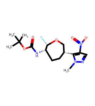 Cn1ncc([N+](=O)[O-])c1[C@@H]1CC[C@H](NC(=O)OC(C)(C)C)[C@H](F)OC1